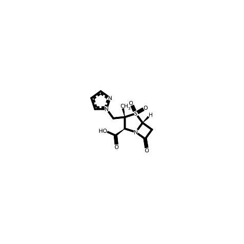 C[C@]1(Cn2cccn2)[C@H](C(=O)O)N2C(=O)C[C@H]2S1(=O)=O